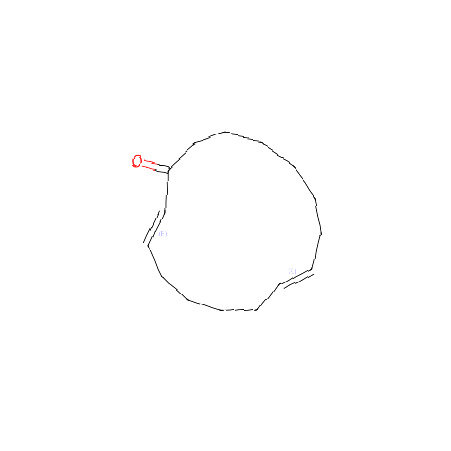 O=C1/C=C/CCCC/C=C/CCCCCC1